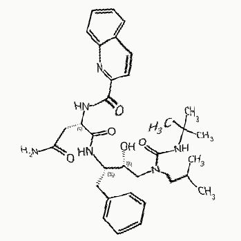 CC(C)CN(C[C@@H](O)[C@H](Cc1ccccc1)NC(=O)[C@H](CC(N)=O)NC(=O)c1ccc2ccccc2n1)C(=O)NC(C)(C)C